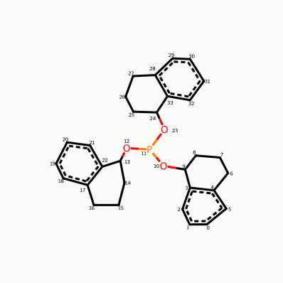 c1ccc2c(c1)CCCC2OP(OC1CCCc2ccccc21)OC1CCCc2ccccc21